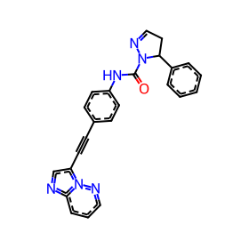 O=C(Nc1ccc(C#Cc2cnc3cccnn23)cc1)N1N=CCC1c1ccccc1